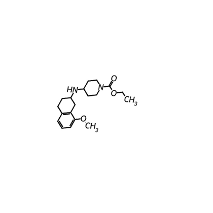 CCOC(=O)N1CCC(NC2CCc3cccc(OC)c3C2)CC1